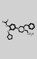 O=C(O)CN1CCN(c2ccc(OC(F)F)c(OC3CCCC3)c2)CC1Cc1ccccc1